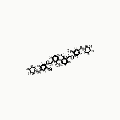 Clc1c(COc2ccc(CN3CCCCC3)cc2Br)cccc1-c1cccc(COc2ccc(CN3CCCCC3)cc2Br)c1Cl